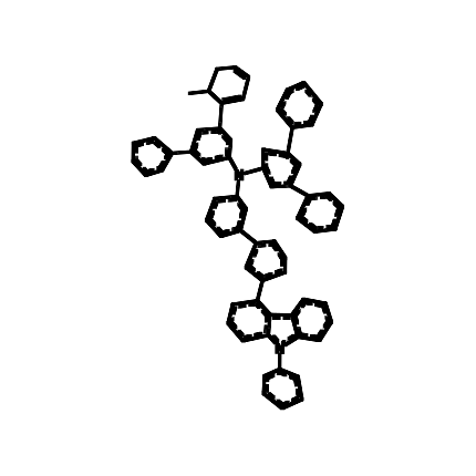 CC1CC=CC=C1c1cc(-c2ccccc2)cc(N(c2cccc(-c3cccc(-c4cccc5c4c4ccccc4n5-c4ccccc4)c3)c2)c2cc(-c3ccccc3)cc(-c3ccccc3)c2)c1